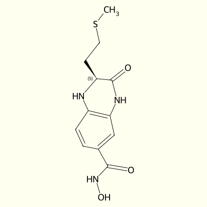 CSCC[C@@H]1Nc2ccc(C(=O)NO)cc2NC1=O